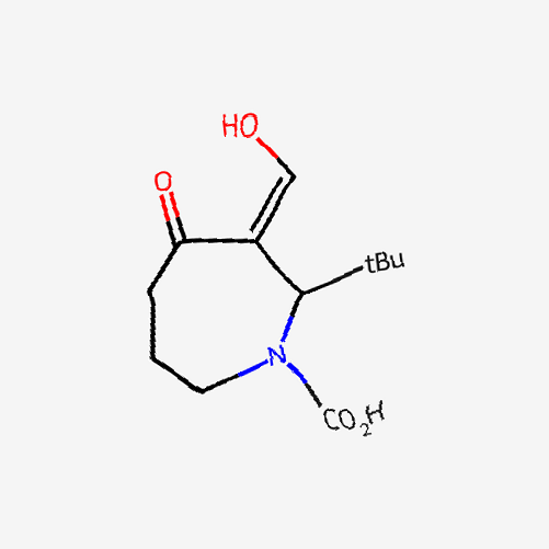 CC(C)(C)C1C(=CO)C(=O)CCCN1C(=O)O